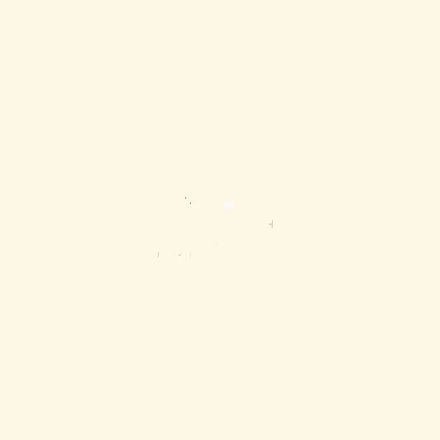 CCCCCC(=O)/C(C#N)=C(\O)C(F)(F)F